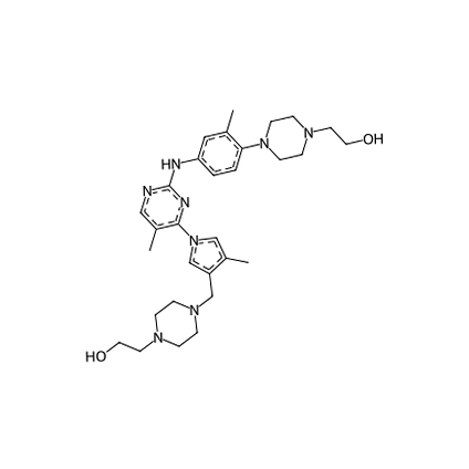 Cc1cn(-c2nc(Nc3ccc(N4CCN(CCO)CC4)c(C)c3)ncc2C)cc1CN1CCN(CCO)CC1